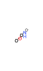 c1ccc(COc2ccc(CNC3CCCC3)cc2)cc1